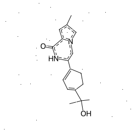 Cc1cc2c(=O)[nH]c(C3=CC=C(C(C)(C)O)CC3)cn2c1